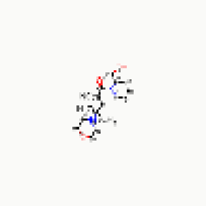 CC(C)(CC(C#N)C(=O)N1CCCC[C@@H]1CO)N1CCOCC1